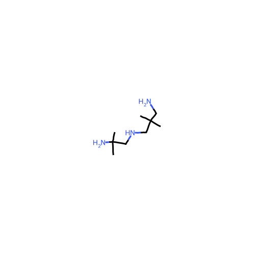 CC(C)(N)CNCC(C)(C)CN